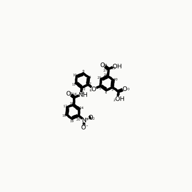 O=C(O)c1cc(Oc2ccccc2NC(=O)c2cccc([N+](=O)[O-])c2)cc(C(=O)O)c1